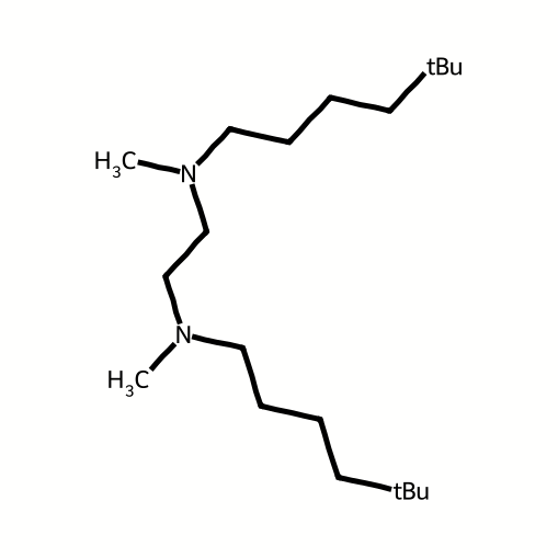 CN(CCCCC(C)(C)C)CCN(C)CCCCC(C)(C)C